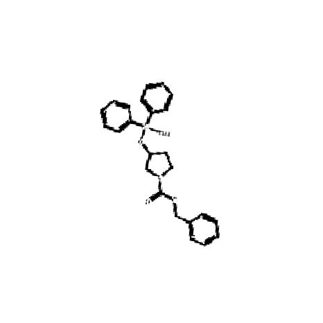 CC(C)(C)[Si](OC1CCN(C(=O)OCc2ccccc2)C1)(c1ccccc1)c1ccccc1